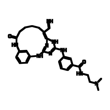 CN(C)CCNC(=O)c1cccc(NC2=NC3=N/C(=C(/C=N)CCCCC(=O)Nc4cccc(c4)N3)N2)c1